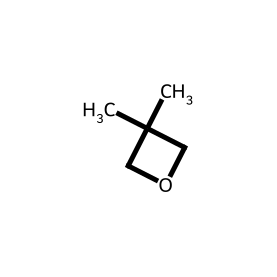 CC1(C)COC1